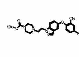 CC(C)(C)OC(=O)N1CCN(CCn2ncc3cc(Oc4ccc(F)cc4C#N)ccc32)CC1